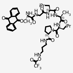 CC(C)C[C@H](NC(=O)CNC(=O)[C@H](C)N)C(=O)N[C@@H](C)C(=O)N[C@@H](CC(C)C)C(=O)N1CCC[C@H]1C(=O)NCCCNOC(=O)C(F)(F)F.O=C1c2ccccc2C(=O)c2ccccc21